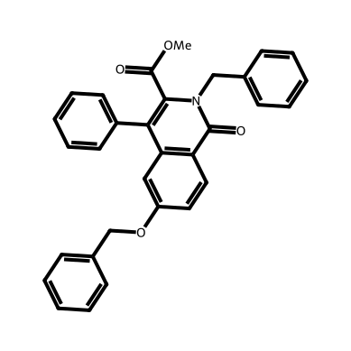 COC(=O)c1c(-c2ccccc2)c2cc(OCc3ccccc3)ccc2c(=O)n1Cc1ccccc1